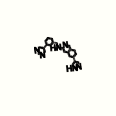 c1cc(CNc2cc3cc(-c4cn[nH]c4)ccc3cn2)cc(-c2cncnc2)c1